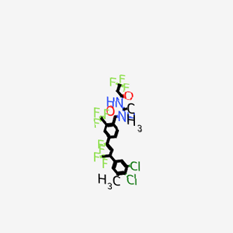 Cc1cc(C(/C=C(\F)c2ccc(C(=O)N[C@H](C)NC(=O)CC(F)(F)F)c(C(F)(F)F)c2)C(F)(F)F)cc(Cl)c1Cl